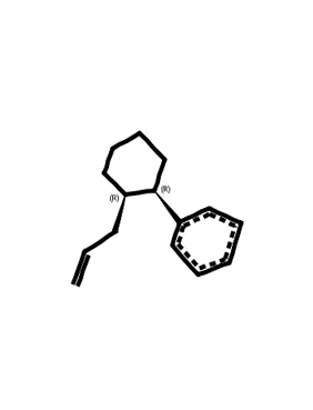 C=CC[C@H]1CCCC[C@H]1c1ccccc1